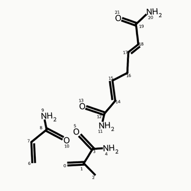 C=C(C)C(N)=O.C=CC(N)=O.NC(=O)C=CCC=CC(N)=O